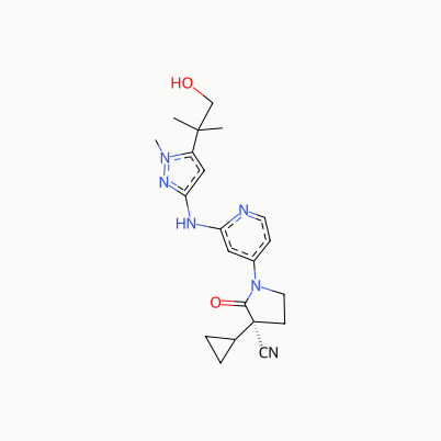 Cn1nc(Nc2cc(N3CC[C@@](C#N)(C4CC4)C3=O)ccn2)cc1C(C)(C)CO